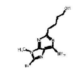 Cn1c(Br)nc2c(N)nc(CCCCO)nc21